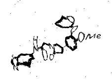 COc1ccc([C@@H]2CC(=O)N(CC(=O)Nc3ccc4ncsc4c3)C2)cc1OC1CCCO1